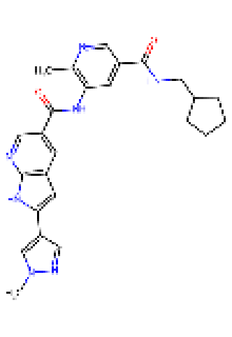 Cc1ncc(C(=O)NCC2CCCC2)cc1NC(=O)c1cnc2[nH]c(-c3cnn(C)c3)cc2c1